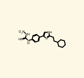 N=C(Nc1ccc(-c2c[nH]c(CCC3CCCCC3)n2)cc1)N[N+](=O)[O-]